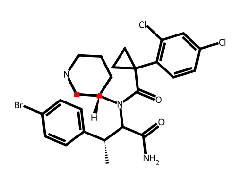 C[C@H](c1ccc(Br)cc1)C(C(N)=O)N(C(=O)C1(c2ccc(Cl)cc2Cl)CC1)[C@@H]1CN2CCC1CC2